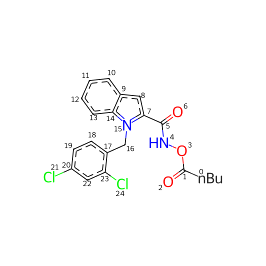 CCCCC(=O)ONC(=O)c1cc2ccccc2n1Cc1ccc(Cl)cc1Cl